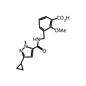 COc1c(CNC(=O)c2cc(C3CC3)nn2C)cccc1C(=O)O